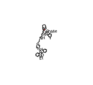 CCOc1ccccc1N1C(=O)C2C=CC=CC2=NC1CN1CCN(CCCNCCCCCCN2C3CCCC2CC(OC(=O)Nc2cc(C)ccc2OC)C3)CC1